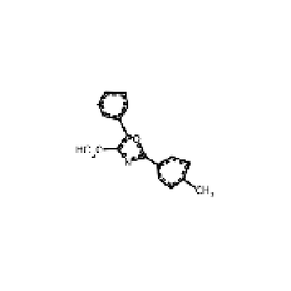 Cc1ccc(-c2nc(C(=O)O)c(-c3ccccc3)o2)cc1